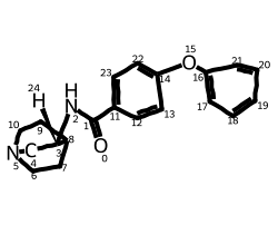 O=C(N[C@H]1CN2CCC1CC2)c1ccc(Oc2ccccc2)cc1